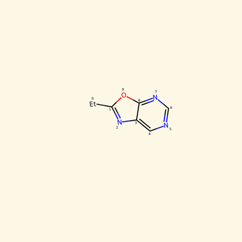 CCc1nc2cncnc2o1